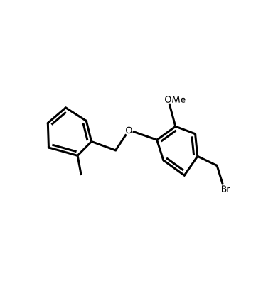 COc1cc(CBr)ccc1OCc1ccccc1C